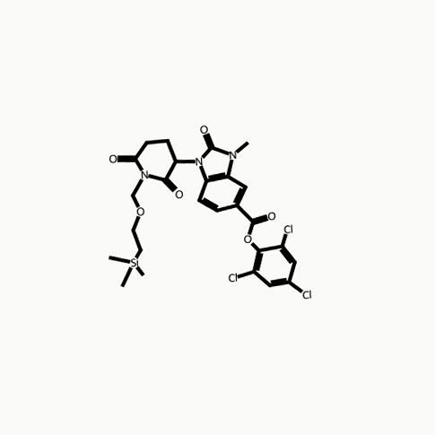 Cn1c(=O)n(C2CCC(=O)N(COCC[Si](C)(C)C)C2=O)c2ccc(C(=O)Oc3c(Cl)cc(Cl)cc3Cl)cc21